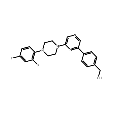 OCc1ccc(-c2cncc(N3CCN(c4ccc(F)cc4F)CC3)n2)cc1